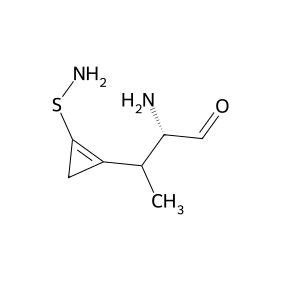 CC(C1=C(SN)C1)[C@H](N)C=O